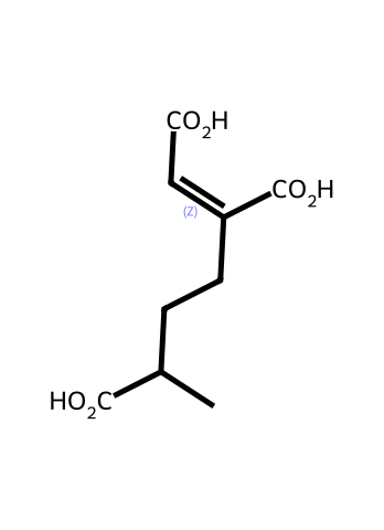 CC(CC/C(=C/C(=O)O)C(=O)O)C(=O)O